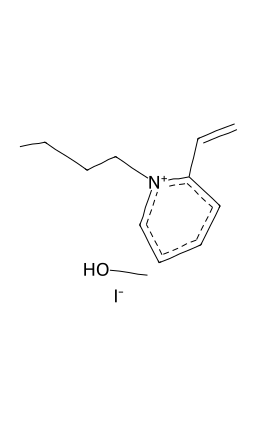 C=Cc1cccc[n+]1CCCC.CO.[I-]